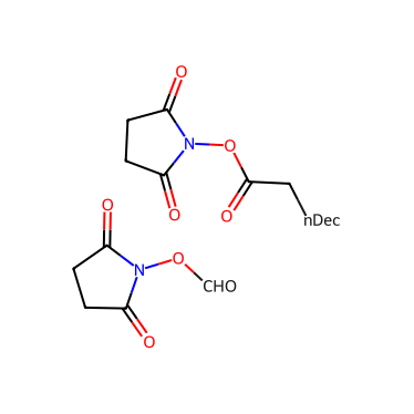 CCCCCCCCCCCC(=O)ON1C(=O)CCC1=O.O=CON1C(=O)CCC1=O